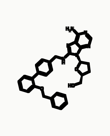 Nc1ncnc2c1nc(NCc1ccc(-c3ccccc3OCc3ccccc3)cc1)n2[C@H]1CC[C@@H](CO)O1